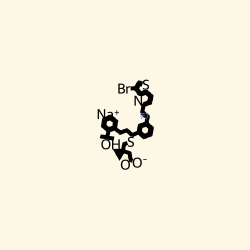 CC(C)(O)c1ccccc1CCC(SCC1(CC(=O)[O-])CC1)c1cccc(/C=C/c2ccc3scc(Br)c3n2)c1.[Na+]